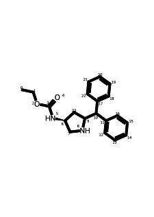 CCOC(=O)N[C@@H]1CNC(C(c2ccccc2)c2ccccc2)C1